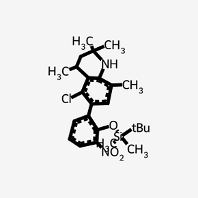 Cc1cc(-c2cccc([N+](=O)[O-])c2O[Si](C)(C)C(C)(C)C)c(Cl)c2c1NC(C)(C)CC2C